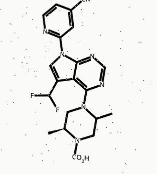 CC1CN(C(=O)O)[C@@H](C)CN1c1ncnc2c1c(C(F)F)cn2-c1cc(C#N)ccn1